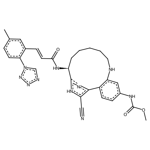 COC(=O)Nc1ccc2c(c1)NCCCCC[C@H](NC(=O)/C=C/c1cc(C)ccc1-n1cnnn1)c1nc-2c(C#N)[nH]1